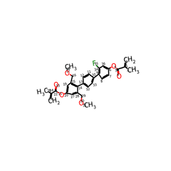 C=C(C)C(=O)Oc1ccc(-c2ccc(-c3c(COC)cc(OC(=O)C(=C)C)cc3COC)cc2)c(F)c1